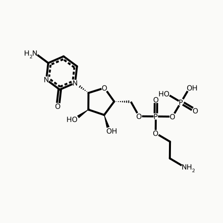 NCCOP(=O)(OC[C@H]1O[C@@H](n2ccc(N)nc2=O)[C@H](O)[C@@H]1O)OP(=O)(O)O